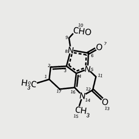 CC1C=c2c3n(c(=O)n2CC=O)CC(=O)N(C)C=3C1